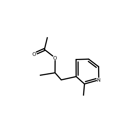 CC(=O)OC(C)Cc1cccnc1C